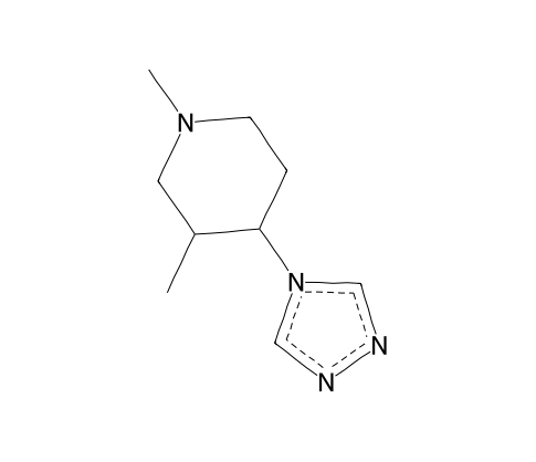 CC1CN(C)CCC1n1cnnc1